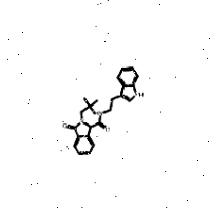 CC(C)(C)CN1C(=O)c2ccccc2C1C(=O)NCCc1c[nH]c2ccccc12